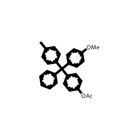 COc1ccc(C(c2ccccc2)(c2ccc(C)cc2)c2ccc(OC(C)=O)cc2)cc1